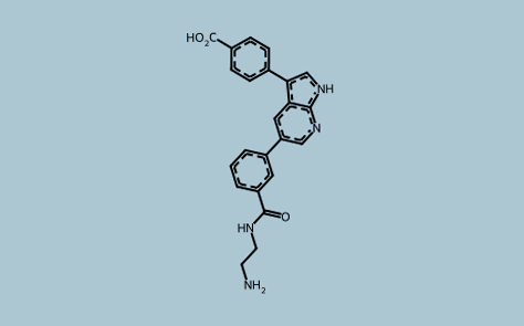 NCCNC(=O)c1cccc(-c2cnc3[nH]cc(-c4ccc(C(=O)O)cc4)c3c2)c1